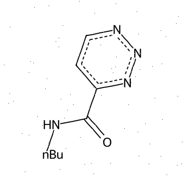 CCCCNC(=O)c1ccnnn1